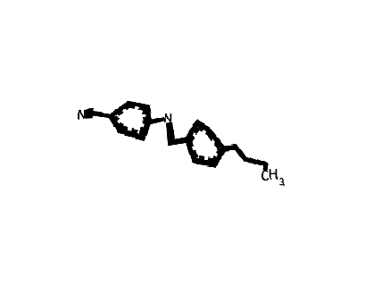 CCCCc1ccc(/C=N/c2ccc(C#N)cc2)cc1